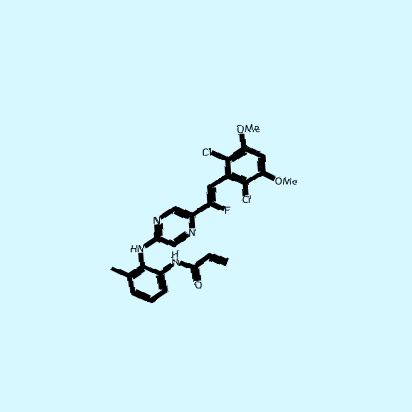 C=CC(=O)Nc1cccc(C)c1Nc1cnc(/C(F)=C/c2c(Cl)c(OC)cc(OC)c2Cl)cn1